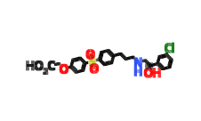 O=C(O)COc1ccc(S(=O)(=O)c2ccc(CCCNC[C@H](O)c3cccc(Cl)c3)cc2)cc1